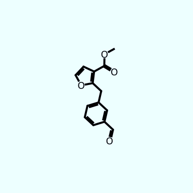 COC(=O)c1ccoc1Cc1cccc(C=O)c1